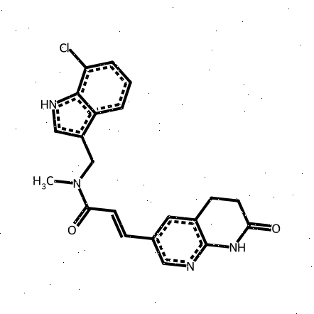 CN(Cc1c[nH]c2c(Cl)cccc12)C(=O)C=Cc1cnc2c(c1)CCC(=O)N2